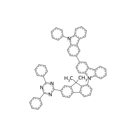 CC1(C)c2cc(-c3nc(-c4ccccc4)nc(-c4ccccc4)n3)ccc2-c2cccc(-n3c4ccccc4c4cc(-c5ccc6c(c5)c5ccccc5n6-c5ccccc5)ccc43)c21